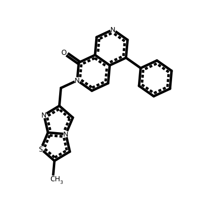 Cc1cn2cc(Cn3ccc4c(-c5ccccc5)cncc4c3=O)nc2s1